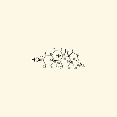 CC(=O)[C@H]1CC[C@H]2[C@@H]3CCC4CC(O)CC[C@]4(C)C3CC[C@]12C